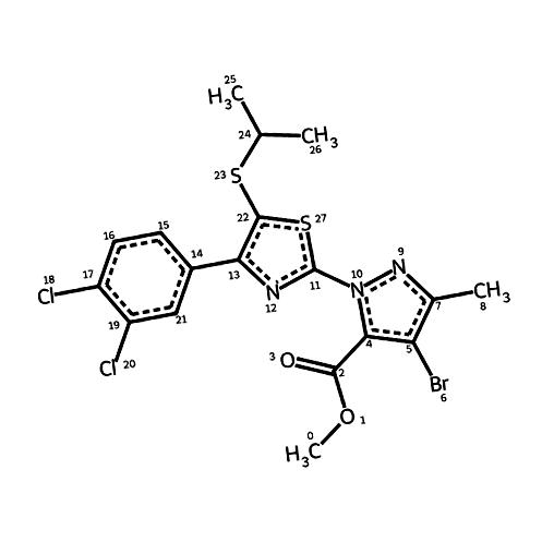 COC(=O)c1c(Br)c(C)nn1-c1nc(-c2ccc(Cl)c(Cl)c2)c(SC(C)C)s1